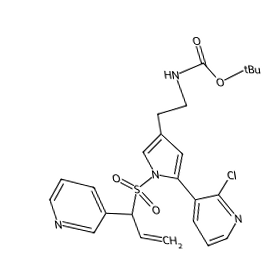 C=CC(c1cccnc1)S(=O)(=O)n1cc(CCNC(=O)OC(C)(C)C)cc1-c1cccnc1Cl